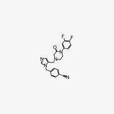 N#Cc1ccc(Cn2cncc2CN2CCN(c3ccc(F)c(F)c3)C(=O)C2)cc1